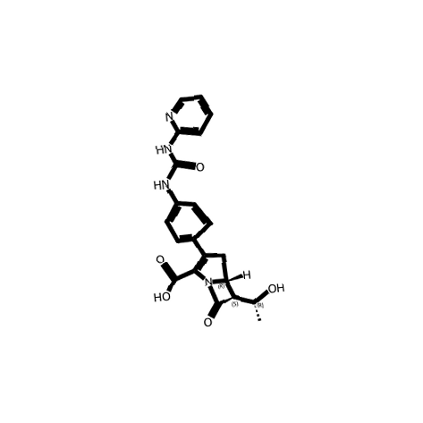 C[C@@H](O)[C@H]1C(=O)N2C(C(=O)O)=C(c3ccc(NC(=O)Nc4ccccn4)cc3)C[C@H]12